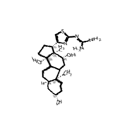 C[C@]12[C@H](O)CC3C(CC[C@@H]4C[C@@H](O)CC[C@]34C)[C@@]1(O)CC[C@@H]2c1csc(N=C(N)N)n1